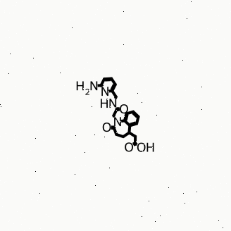 Nc1cccc(CNC(=O)CN2C(=O)CCC(CC(=O)O)c3ccccc32)n1